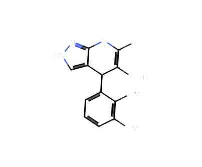 CCCC1=C(C(=O)O)C(c2cccc(OC)c2OC)c2c[nH]nc2N1